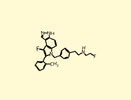 Cc1ccccc1-c1c(F)c2c3cn[nH]c3ccc2n1Cc1ccc(CCNCCF)cc1